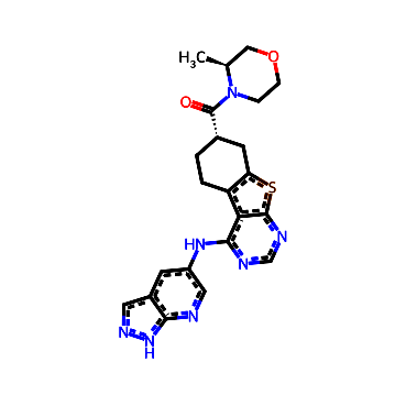 C[C@H]1COCCN1C(=O)[C@H]1CCc2c(sc3ncnc(Nc4cnc5[nH]ncc5c4)c23)C1